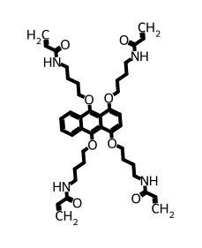 C=CC(=O)NCCCCOc1ccc(OCCCCNC(=O)C=C)c2c(OCCCCNC(=O)C=C)c3ccccc3c(OCCCCNC(=O)C=C)c12